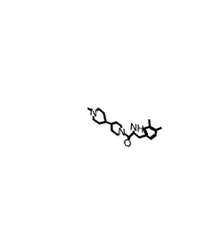 Cc1ccc(CC(N)C(=O)N2CCC(C3CCN(C)CC3)CC2)cc1C